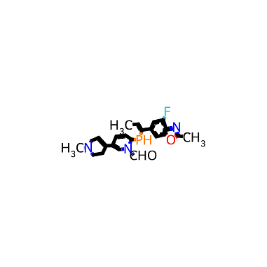 C/C=C(\PC1C=CC(C2=CCN(C)CC2)=CN1C=O)c1cc(F)c2nc(C)oc2c1